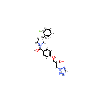 O=C(c1ccc(OC[C@H](O)Cn2ncnn2)cc1)N1CCC(c2ccccc2F)C1